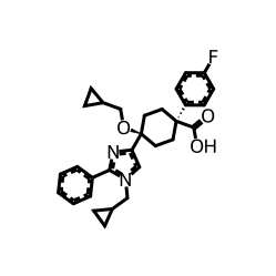 O=C(O)[C@]1(c2ccc(F)cc2)CC[C@@](OCC2CC2)(c2cn(CC3CC3)c(-c3ccccc3)n2)CC1